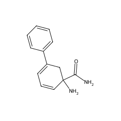 NC(=O)C1(N)C=CC=C(c2ccccc2)C1